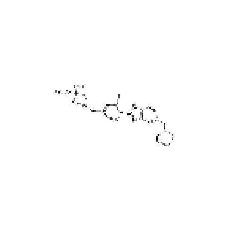 O=C(O)C1(O)CN(Cc2ccc(-c3nc4cc(Cc5ccccc5)ccc4s3)c(F)c2)C1